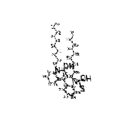 CCCCCCCCCCN(C(O)=S)c1ccccc1Cc1ccccc1N(CCCCCCCCCC)C(O)=S